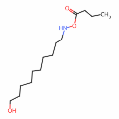 CCCC(=O)ONCCCCCCCCCCO